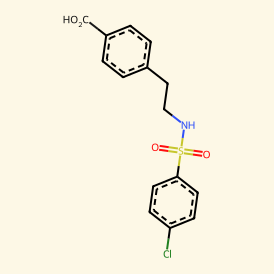 O=C(O)c1ccc(CCNS(=O)(=O)c2ccc(Cl)cc2)cc1